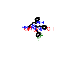 O=C(C[C@@H](Cc1c[nH]c2ccccc12)n1cc(C(Cc2ccc(O)cc2)NC(=O)c2ccc(F)c(F)c2)nn1)NO